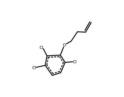 C=CCCOc1c(Cl)ccc(Cl)c1Cl